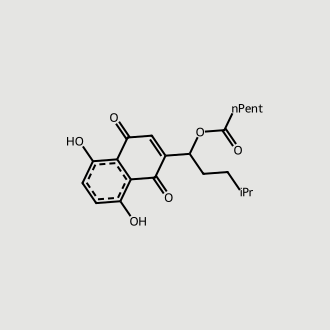 CCCCCC(=O)OC(CCC(C)C)C1=CC(=O)c2c(O)ccc(O)c2C1=O